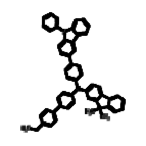 CCc1ccc(-c2ccc(N(c3ccc(-c4ccc5c(c4)c4ccccc4n5-c4ccccc4)cc3)c3ccc4c(c3)C(C)(C)c3ccccc3-4)cc2)cc1